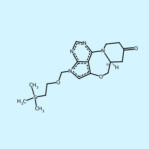 C[Si](C)(C)CCOCn1cc2c3c(ncnc31)N1CCC(=O)C[C@H]1CO2